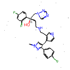 Cn1cc(-c2ccncc2CNCC[C@@](O)(Cn2cncn2)c2ccc(F)cc2F)c(-c2ccc(F)cc2)n1